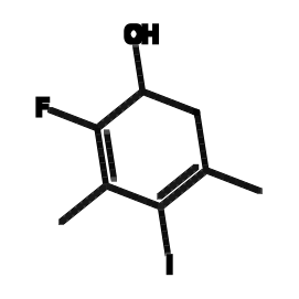 CC1=C(I)C(C)=C(F)C(O)C1